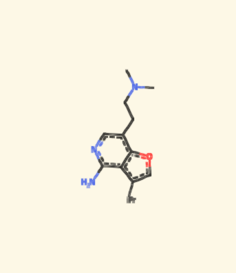 CC(C)c1coc2c(CCN(C)C)cnc(N)c12